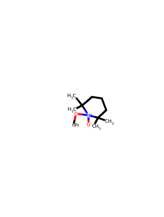 CCCO[N+]1([O-])C(C)(C)CCCC1(C)C